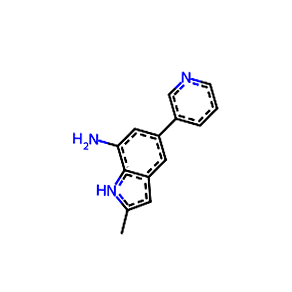 Cc1cc2cc(-c3cccnc3)cc(N)c2[nH]1